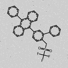 O=S(=O)(Cc1ccc(-c2c3ccccc3c(-c3ccccc3)c3ccccc23)cc1-c1ccccc1)C(F)(F)F